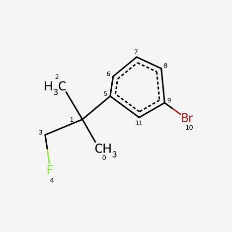 CC(C)(CF)c1cccc(Br)c1